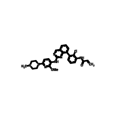 C=CC(=O)Nc1cccc(-c2cccc3cnc(Nc4ccc(N5CCN(C)CC5)nc4OC)nc23)c1Cl